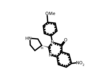 COc1ccc(-n2c([C@@H]3CCNC3)nc3ccc([N+](=O)[O-])cc3c2=O)cc1